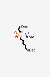 CCCCCCCCCCCCCCCOS(=O)(=O)C(F)CCCCCCCCCCC.CNC